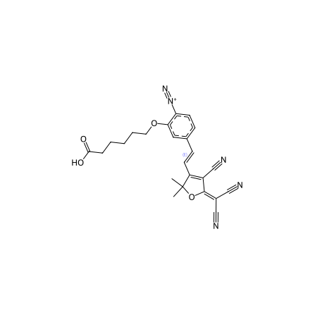 CC1(C)OC(=C(C#N)C#N)C(C#N)=C1/C=C/c1ccc([N+]#N)c(OCCCCCC(=O)O)c1